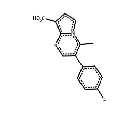 Cc1c(-c2ccc(F)cc2)cnc2c(C(=O)O)ccn12